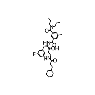 CCCN(CCC)C(=O)c1cc(C)cc(C(=O)N[C@@H](Cc2cc(F)cc(F)c2)[C@H](O)CCNC(=O)CCC2CCCCC2)c1